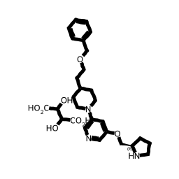 O=C(O)C(O)C(O)C(=O)O.c1ccc(COCCC2CCN(c3cncc(OC[C@H]4CCCN4)c3)CC2)cc1